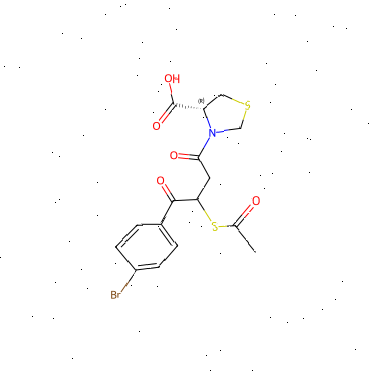 CC(=O)SC(CC(=O)N1CSC[C@H]1C(=O)O)C(=O)c1ccc(Br)cc1